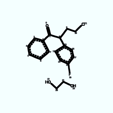 O=C(c1ccccc1)C(CCCl)c1ccc(F)cc1.OCCO